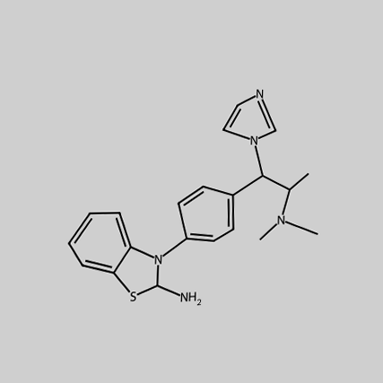 CC(C(c1ccc(N2c3ccccc3SC2N)cc1)n1ccnc1)N(C)C